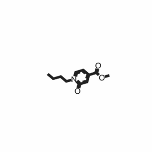 CCCCn1ccc(C(=O)OC)cc1=O